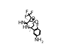 C[C@@]1(c2cc(N)ccc2F)CS(=O)(=O)[C@](C)(CC(F)(F)F)C(=N)N1